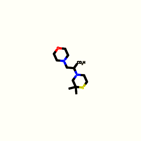 CC1(C)CN(C(CN2CCOCC2)C(=O)O)CCS1